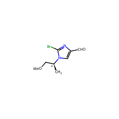 COC[C@H](C)n1cc(C=O)nc1Br